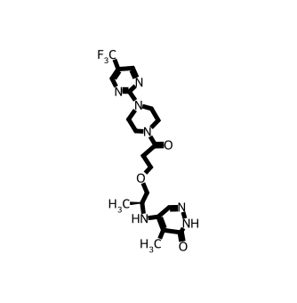 Cc1c(N[C@@H](C)COCCC(=O)N2CCN(c3ncc(C(F)(F)F)cn3)CC2)cn[nH]c1=O